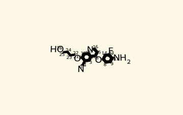 N#Cc1cc2c(Oc3ccc(N)c(F)c3)ccnc2cc1OCCCCO